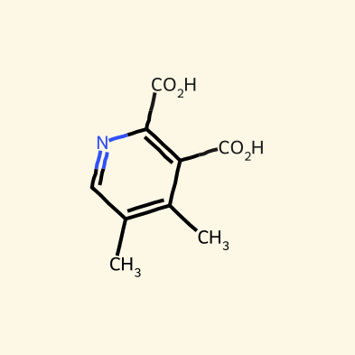 Cc1cnc(C(=O)O)c(C(=O)O)c1C